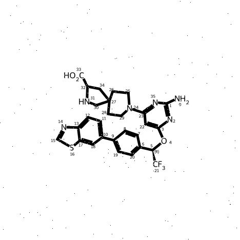 Nc1nc(O[C@H](c2ccc(-c3ccc4ncsc4c3)cc2)C(F)(F)F)cc(N2CCC3(CC2)CNC(C(=O)O)C3)n1